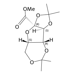 COC(=O)[C@@]12O[C@H]3COC(C)(C)O[C@H]3[C@@H]1OC(C)(C)O2